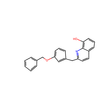 Oc1cccc2ccc(Cc3cccc(OCc4ccccc4)c3)nc12